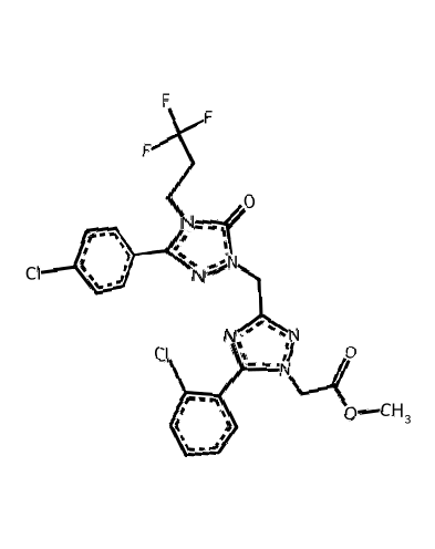 COC(=O)Cn1nc(Cn2nc(-c3ccc(Cl)cc3)n(CCC(F)(F)F)c2=O)nc1-c1ccccc1Cl